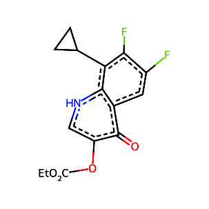 CCOC(=O)Oc1c[nH]c2c(C3CC3)c(F)c(F)cc2c1=O